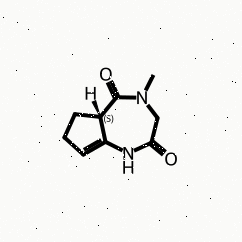 CN1CC(=O)NC2=CCC[C@@H]2C1=O